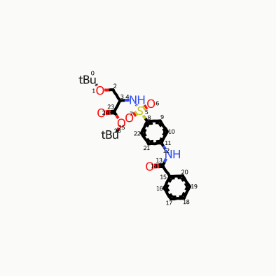 CC(C)(C)OCC(NS(=O)(=O)c1ccc(NC(=O)c2ccccc2)cc1)C(=O)OC(C)(C)C